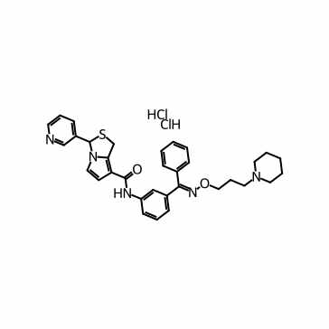 Cl.Cl.O=C(Nc1cccc(/C(=N/OCCCN2CCCCC2)c2ccccc2)c1)c1ccn2c1CSC2c1cccnc1